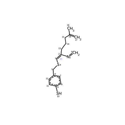 C=N/C(=C\SCc1ccc(S)cc1)CCCC(=C)C